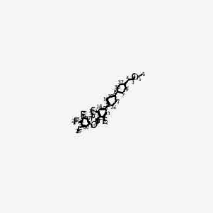 CCOCCC1CCC(C2CC=C(c3cc(F)c(C(F)(F)Oc4cc(F)c(F)c(F)c4)c(F)c3)CC2)CC1